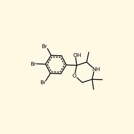 CC1NC(C)(C)COC1(O)c1cc(Br)c(Br)c(Br)c1